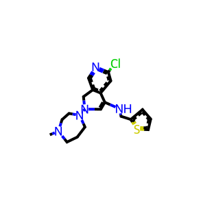 CN1CCCN(N2C=C(NCc3cccs3)c3cc(Cl)ncc3C2)CC1